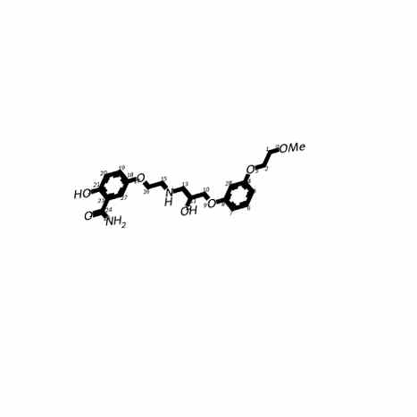 COCCOc1cccc(OCC(O)CNCCOc2ccc(O)c(C(N)=O)c2)c1